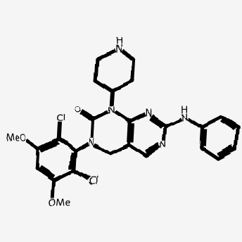 COc1cc(OC)c(Cl)c(N2Cc3cnc(Nc4ccccc4)nc3N(C3CCNCC3)C2=O)c1Cl